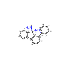 NC1(N)c2ccccc2-c2cccc(-c3ccccc3)c21